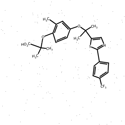 Cc1cc(OC(C)(C)c2cnc(-c3ccc(C(F)(F)F)cc3)s2)ccc1OC(C)(C)C(=O)O